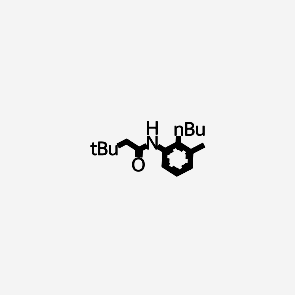 CCCCc1c(C)cccc1NC(=O)CC(C)(C)C